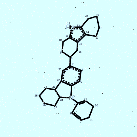 C1=CC(N2c3ccc(C4CCc5[nH]c6c(c5C4)CCCC6)cc3C3CCCCC32)=CCC1